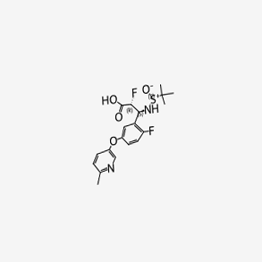 Cc1ccc(Oc2ccc(F)c([C@H](N[S@+]([O-])C(C)(C)C)[C@@H](F)C(=O)O)c2)cn1